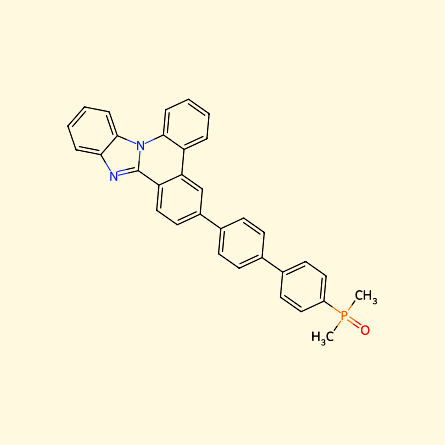 CP(C)(=O)c1ccc(-c2ccc(-c3ccc4c(c3)c3ccccc3n3c5ccccc5nc43)cc2)cc1